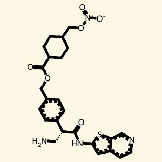 NC[C@@H](C(=O)Nc1cc2ccncc2s1)c1ccc(COC(=O)C2CCC(CO[N+](=O)[O-])CC2)cc1